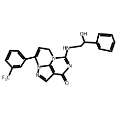 O=c1nc(NCC(O)c2ccccc2)n2c3c1cnn3C(c1cccc(C(F)(F)F)c1)=CC2